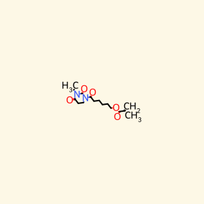 C=C(C)C(=O)OCCCCCC(=O)N1CCC(=O)N(CC)C1=O